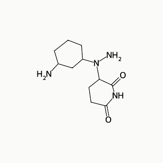 NC1CCCC(N(N)C2CCC(=O)NC2=O)C1